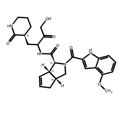 COc1cccc2[nH]c(C(=O)N3C[C@@H]4CC=C[C@@H]4[C@H]3C(=O)NC(C[C@@H]3CCCNC3=O)C(=O)CO)cc12